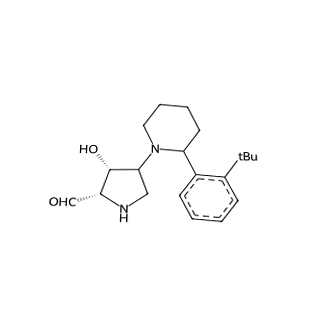 CC(C)(C)c1ccccc1C1CCCCN1C1CN[C@H](C=O)[C@@H]1O